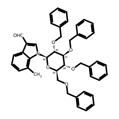 Cc1cccc2c(C=O)cn([C@@H]3O[C@H](COCc4ccccc4)[C@@H](OCc4ccccc4)[C@H](OCc4ccccc4)[C@H]3OCc3ccccc3)c12